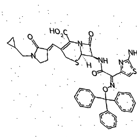 Nc1nc(/C(=N/OC(c2ccccc2)(c2ccccc2)c2ccccc2)C(=O)N[C@@H]2C(=O)N3C(C(=O)O)=C(/C=C4\CCN(CC5CC5)C4=O)CS[C@H]23)cs1